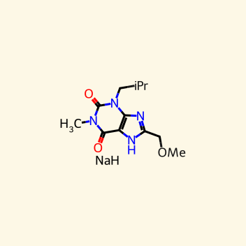 COCc1nc2c([nH]1)c(=O)n(C)c(=O)n2CC(C)C.[NaH]